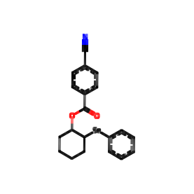 N#Cc1ccc(C(=O)OC2CCCCC2[Se]c2ccccc2)cc1